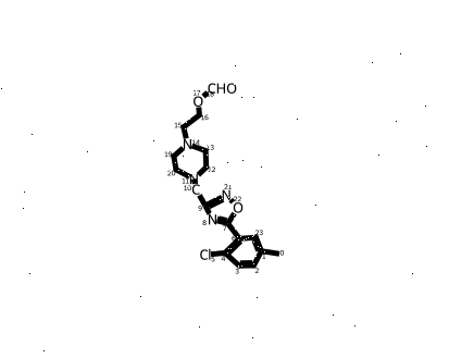 Cc1ccc(Cl)c(-c2nc(CN3CCN(CCOC=O)CC3)no2)c1